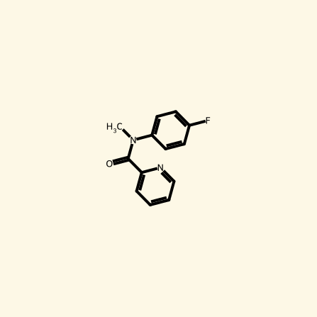 CN(C(=O)c1ccccn1)c1ccc(F)cc1